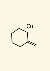 [CH]=C1CCCCC1.[Cu]